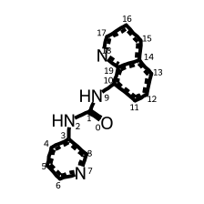 O=C(Nc1cccnc1)Nc1cccc2cccnc12